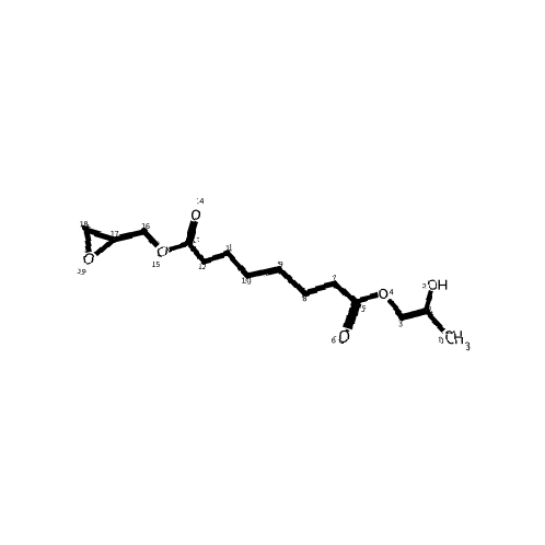 CC(O)COC(=O)CCCCCCC(=O)OCC1CO1